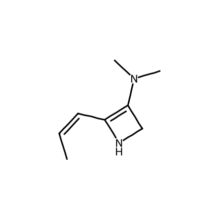 C/C=C\C1=C(N(C)C)CN1